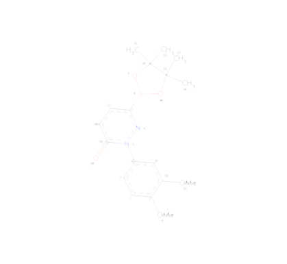 COc1ccc(-n2nc(B3OC(C)(C)C(C)(C)O3)ccc2=O)cc1OC